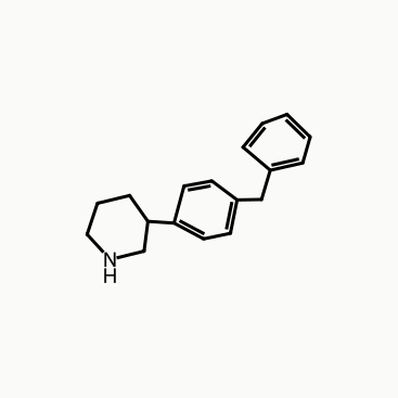 c1ccc(Cc2ccc(C3CCCNC3)cc2)cc1